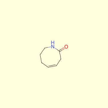 O=C1CC=CCCCN1